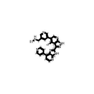 CCNCc1cncc(-c2cnc3[nH]nc(-c4nc5c(-c6ccncc6)ccnc5[nH]4)c3c2F)c1